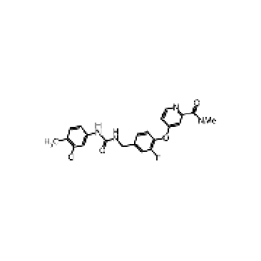 CNC(=O)c1cc(Oc2ccc(CNC(=O)Nc3ccc(C)c(Cl)c3)cc2F)ccn1